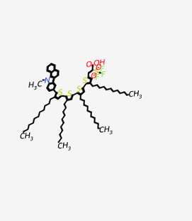 CCCCCCCCCCCCc1cc(-c2sc(-c3sc(-c4sc(/C=C(/C(=O)O)S(=O)(=O)C(F)(F)F)cc4CCCCCCCCCCCC)cc3CCCCCCCCCCCC)cc2CCCCCCCCCCCC)sc1-c1ccc2c(c1)c1ccc3ccccc3c1n2CC